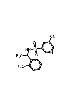 N#Cc1cncc(S(=O)(=O)NC(c2ccccc2C(F)(F)F)C(F)(F)F)c1